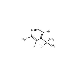 Cc1ncc(Br)c([Si](C)(C)C)c1F